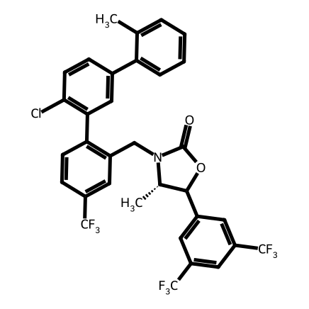 Cc1ccccc1-c1ccc(Cl)c(-c2ccc(C(F)(F)F)cc2CN2C(=O)OC(c3cc(C(F)(F)F)cc(C(F)(F)F)c3)[C@@H]2C)c1